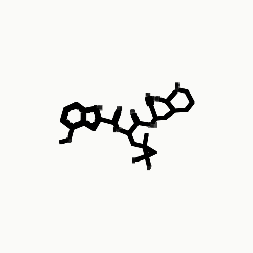 COc1cccc2[nH]c(C(=O)NC(CC3(C)CC3(F)F)C(=O)NC(C#N)CC3CCCNC3O)cc12